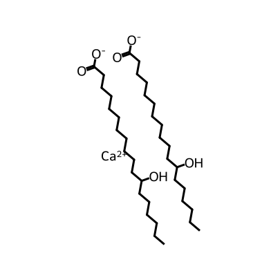 CCCCCCC(O)CCCCCCCCCCC(=O)[O-].CCCCCCC(O)CCCCCCCCCCC(=O)[O-].[Ca+2]